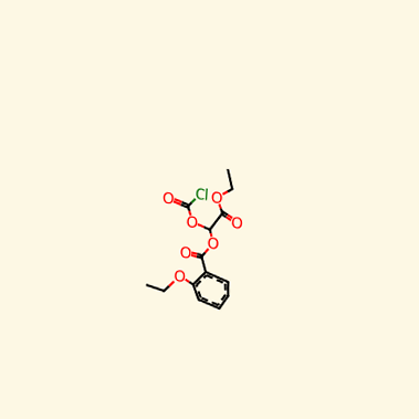 CCOC(=O)C(OC(=O)Cl)OC(=O)c1ccccc1OCC